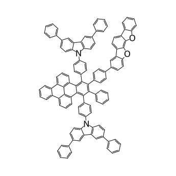 c1ccc(-c2ccc3c(c2)c2cc(-c4ccccc4)ccc2n3-c2ccc(-c3c(-c4ccccc4)c(-c4ccc(-c5ccc6oc7c(ccc8c9ccccc9oc87)c6c5)cc4)c(-c4ccc(-n5c6ccc(-c7ccccc7)cc6c6cc(-c7ccccc7)ccc65)cc4)c4c5cccc6c7ccccc7c7cccc(c34)c7c65)cc2)cc1